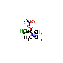 C[N+](C)(C)CCOC(N)=O.Cl.[CaH2]